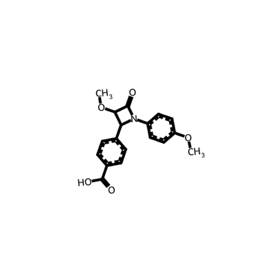 COc1ccc(N2C(=O)C(OC)C2c2ccc(C(=O)O)cc2)cc1